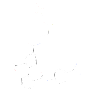 CS(=O)(=O)O.C[S+]([O-])CCNC(=O)c1ccc(-c2ccccc2C(=O)Nc2ccc(C(=N)N)cc2)c(C(=O)O)c1